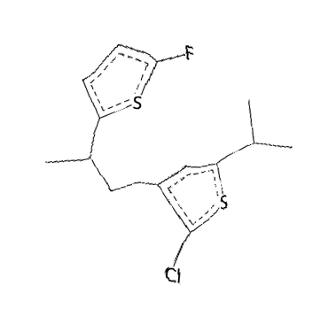 CC(C)c1cc(CC(C)c2ccc(F)s2)c(Cl)s1